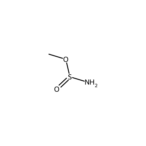 COS(N)=O